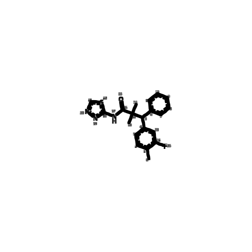 Cc1ccc(C(c2ccccc2)C(C)(C)C(=O)Nc2nncs2)cc1F